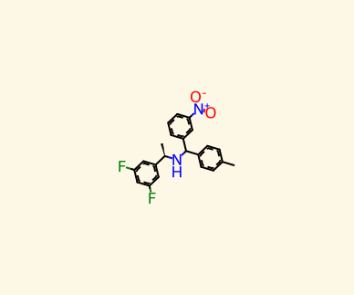 Cc1ccc(C(N[C@H](C)c2cc(F)cc(F)c2)c2cccc([N+](=O)[O-])c2)cc1